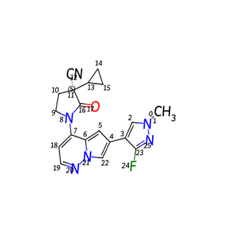 Cn1cc(-c2cc3c(N4CC[C@@](C#N)(C5CC5)C4=O)ccnn3c2)c(F)n1